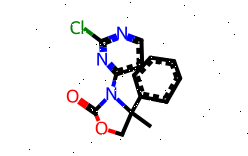 CC1(c2ccccc2)COC(=O)N1c1ccnc(Cl)n1